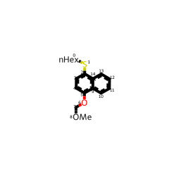 CCCCCCSc1ccc(OCOC)c2ccccc12